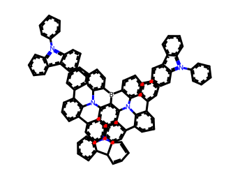 C1=CC2c3ccccc3N(c3cc4c5c(c3)N(c3c(-c6ccccc6)cccc3-c3ccccc3)c3cc(-c6ccc7c(c6)c6ccccc6n7-c6ccccc6)ccc3B5c3ccc(-c5ccc6c(c5)c5ccccc5n6-c5ccccc5)cc3N4c3c(-c4ccccc4)cccc3-c3ccccc3)C2C=C1